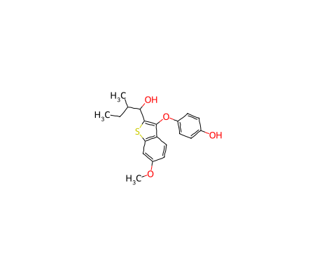 CCC(C)C(O)c1sc2cc(OC)ccc2c1Oc1ccc(O)cc1